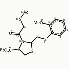 CCOC(=O)C1CSC(CSc2ccccc2OC)N1C(=O)CSC(C)=O